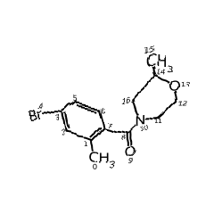 Cc1cc(Br)ccc1C(=O)N1CCOC(C)C1